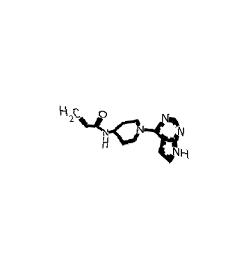 C=CC(=O)NC1CCN(c2ncnc3[nH]ccc23)CC1